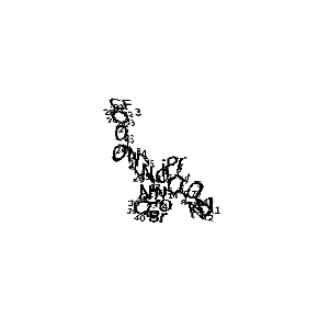 CC(C)Oc1ccc(C(=O)Cn2nccn2)cc1-n1c(CN2CCN(C(=O)COc3ccc(C(F)(F)F)cc3)CC2)nc2cccc(Br)c2c1=O